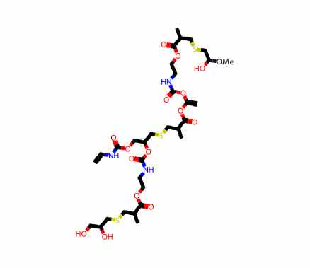 C=CNC(=O)OCC(CSCC(C)C(=O)OC(=C)OC(=O)NCCOC(=O)C(C)CSCC(O)OC)OC(=O)NCCOC(=O)C(C)CSCC(O)CO